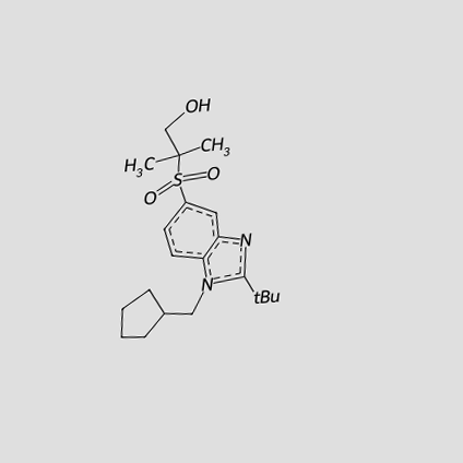 CC(C)(C)c1nc2cc(S(=O)(=O)C(C)(C)CO)ccc2n1CC1CCCC1